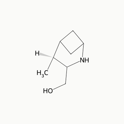 C[C@H]1C2CC(C2)NC1CO